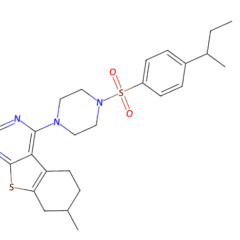 CCC(C)c1ccc(S(=O)(=O)N2CCN(c3ncnc4sc5c(c34)CCC(C)C5)CC2)cc1